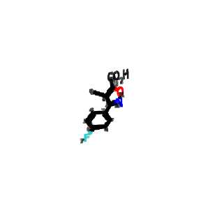 Cc1c(-c2ccc(F)cc2)noc1C(=O)O